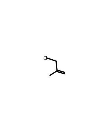 C=C(I)CCl